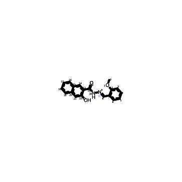 COc1ccccc1/C=N/NC(=O)c1cc2ccccc2cc1O